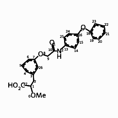 COC(Cc1cccc(OCC(=O)Nc2ccc(Oc3ccccc3)cc2)c1)C(=O)O